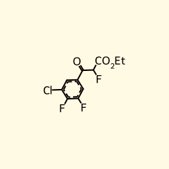 CCOC(=O)C(F)C(=O)c1cc(F)c(F)c(Cl)c1